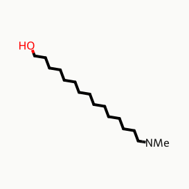 CNCCCCCCCCCCCCCCCO